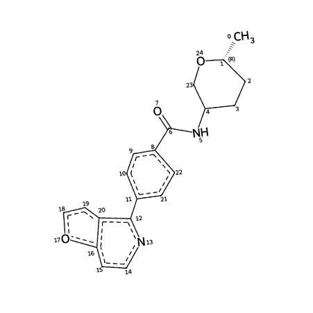 C[C@@H]1CCC(NC(=O)c2ccc(-c3nccc4occc34)cc2)CO1